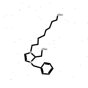 CCCCCCCCCCCCCCCCCCN1C=CN(Cc2ccccc2)C1CCCCCCCCCCC